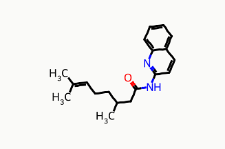 CC(C)=CCCC(C)CC(=O)Nc1ccc2ccccc2n1